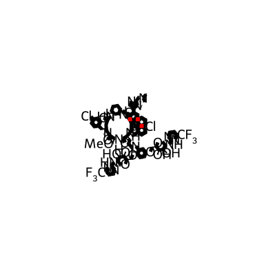 COC[C@@H]1NC(=O)[C@H](CCCNc2cc(OC[C@H]3OC[C@H](Nc4nccc(C(F)(F)F)n4)[C@@H](O)[C@H]3O)ccc2OC[C@H]2OC[C@H](Nc3nccc(C(F)(F)F)n3)[C@@H](O)[C@H]2O)N(Cc2ccc(Cl)cc2Oc2ccc(-c3cnc(CN(C)C)n3C)cc2)C(=O)C[C@@H](Cc2ccccc2)C(=O)N(C)[C@H]2CCCC[C@@H]2NC(=O)C[C@H](Cc2ccc(Cl)cc2)N(C)C1=O